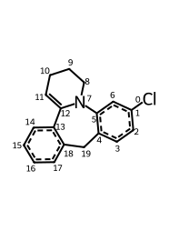 Clc1ccc2c(c1)N1CCCC=C1c1ccccc1C2